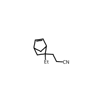 CCC1(CCC#N)CC2C=CC1C2